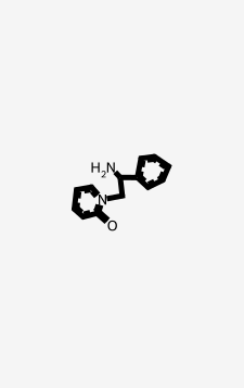 NC(Cn1ccccc1=O)c1ccccc1